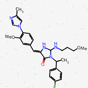 COCCCNC1N/C(=C\c2ccc(-n3cnc(C)c3)c(OC)c2)C(=O)N1C(C)c1ccc(F)cc1